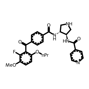 CCCOc1ccc(OC)c(F)c1C(=O)c1ccc(C(=O)N[C@@H]2CNC[C@H]2NC(=O)c2ccncc2)cc1